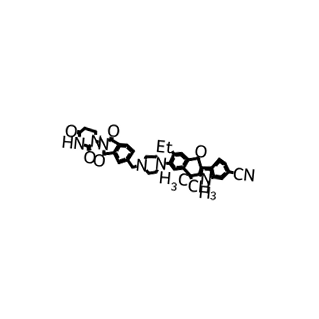 CCc1cc2c(cc1N1CCN(Cc3ccc4c(c3)C(=O)N(N3CCC(=O)NC3=O)C4=O)CC1)C(C)(C)c1[nH]c3cc(C#N)ccc3c1C2=O